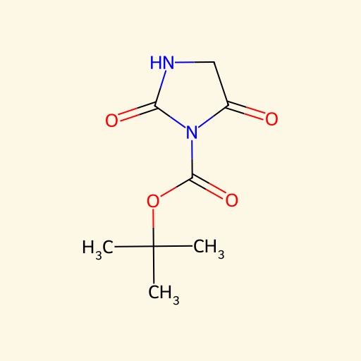 CC(C)(C)OC(=O)N1C(=O)CNC1=O